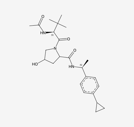 CC(=O)N[C@H](C(=O)N1CC(O)CC1C(=O)N[C@@H](C)c1ccc(C2CC2)cc1)C(C)(C)C